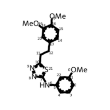 COc1cccc(Nc2nnc(CCc3ccc(OC)c(OC)c3)s2)c1